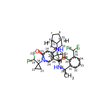 [2H]C([2H])([2H])N1C[C@H]2CC[C@@H](C1)C2Nc1cc(=O)n(C2(C(F)F)CC2)cc1C(=O)N[C@H](C)c1cccc(C(F)F)c1F